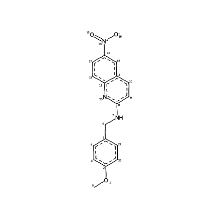 COc1ccc(CNc2ccc3cc([N+](=O)[O-])ccc3n2)cc1